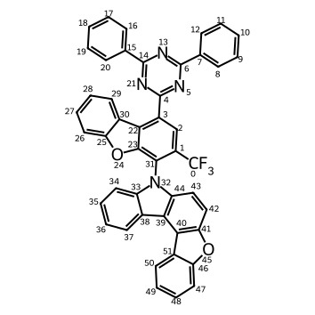 FC(F)(F)c1cc(-c2nc(-c3ccccc3)nc(-c3ccccc3)n2)c2c(oc3ccccc32)c1-n1c2ccccc2c2c3c(ccc21)oc1ccccc13